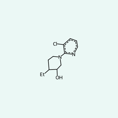 [CH2]CC1CCN(c2ncccc2Cl)CC1O